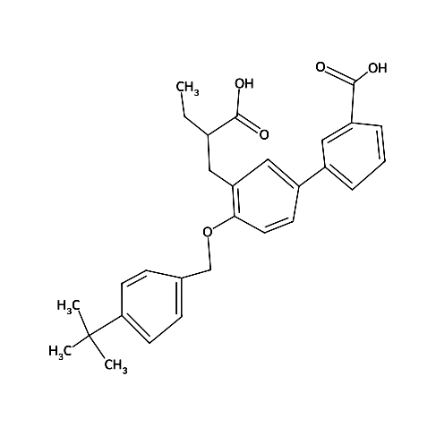 CCC(Cc1cc(-c2cccc(C(=O)O)c2)ccc1OCc1ccc(C(C)(C)C)cc1)C(=O)O